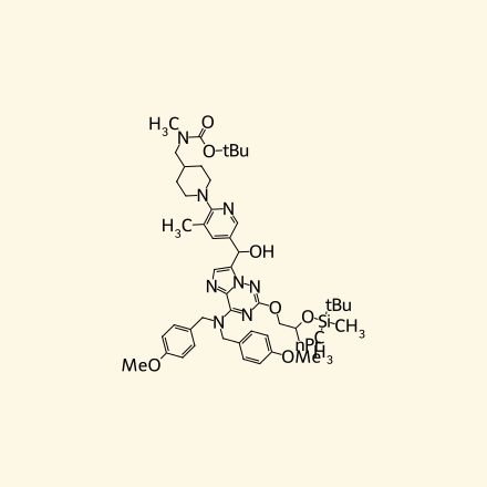 CCCC(COc1nc(N(Cc2ccc(OC)cc2)Cc2ccc(OC)cc2)c2ncc(C(O)c3cnc(N4CCC(CN(C)C(=O)OC(C)(C)C)CC4)c(C)c3)n2n1)O[Si](C)(C)C(C)(C)C